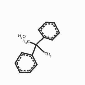 CC(C)(c1ccccc1)c1ccccc1.O